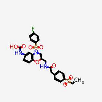 CCS(=O)(=O)c1ccc(CC(=O)NCC2CN(S(=O)(=O)c3ccc(F)cc3)c3cc(NC(=O)O)ccc3O2)cc1